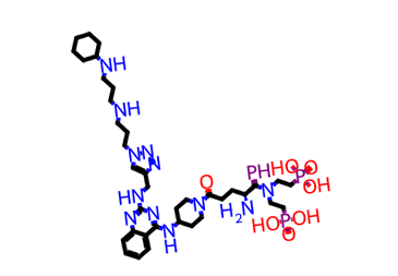 N[C@@H](CCC(=O)N1CCC(Nc2nc(NCc3cn(CCCNCCCNC4CCCCC4)nn3)nc3ccccc23)CC1)C(=P)N(CCP(=O)(O)O)CCP(=O)(O)O